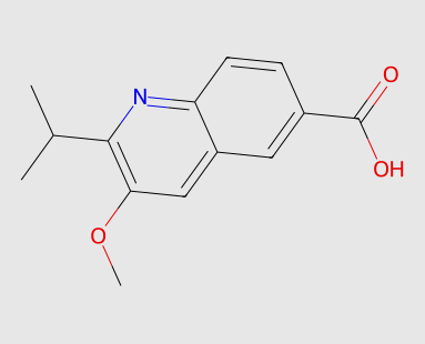 COc1cc2cc(C(=O)O)ccc2nc1C(C)C